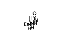 CCNC(=S)Nc1cc(NCc2ccccc2)ncn1